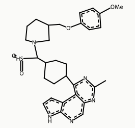 COc1ccc(OCC2CCCN(C(C3CCC(c4nc(C)nc5cnc6[nH]ccc6c45)CC3)[SH](=O)=O)C2)cc1